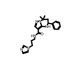 CC1(C)CC(c2ccccc2)Nc2c(C(=O)NCCCn3ccnc3)cnn21